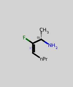 CCC/C=C(/F)[C@H](C)N